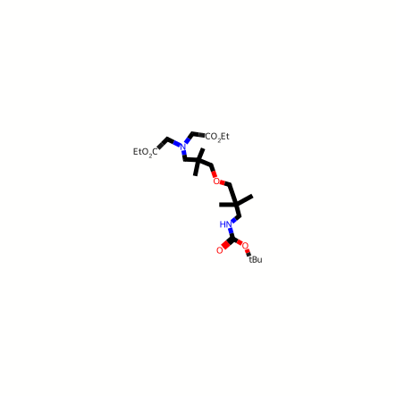 CCOC(=O)CN(CC(=O)OCC)CC(C)(C)COCC(C)(C)CNC(=O)OC(C)(C)C